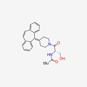 CC(C)(C)C(=O)N[C@@H](CO)C(=O)N1CCC(=C2c3ccccc3C=Cc3ccccc32)CC1